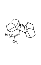 CC(=CC(C)(C12CC3CC(CC(C3)C1)C2)C12CC3CC(CC(C3)C1)C2)C(=O)O